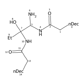 CCCCCCCCCCCC(=O)NC(N)C(O)(CC)NC(=O)CCCCCCCCCCC